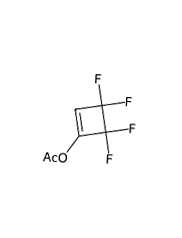 CC(=O)OC1=CC(F)(F)C1(F)F